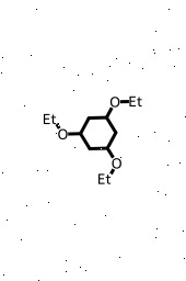 CCOC1CC(OCC)CC(OCC)C1